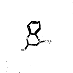 CC(C)(C)C1CN(C(=O)O)c2ccccc2O1